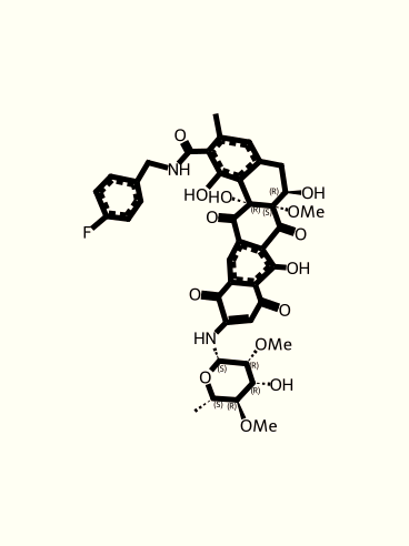 CO[C@@H]1[C@@H](O)[C@@H](OC)[C@@H](NC2=CC(=O)c3c(cc4c(c3O)C(=O)[C@]3(OC)[C@H](O)Cc5cc(C)c(C(=O)NCc6ccc(F)cc6)c(O)c5[C@]3(O)C4=O)C2=O)O[C@H]1C